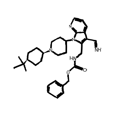 CC(C)(C)[C@H]1CC[C@@H](N2CCC(n3c(CNC(=O)OCc4ccccc4)c(C=N)c4cccnc43)CC2)CC1